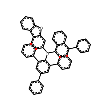 c1ccc(-c2cc(-c3ccccc3)c(N(c3ccc4c(c3)oc3ccccc34)c3ccc(-c4ccccc4)c4ccccc34)c(-c3ccccc3)c2)cc1